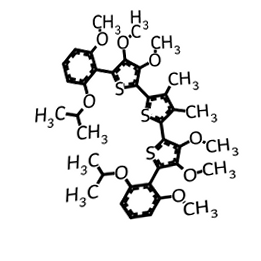 COc1cccc(OC(C)C)c1-c1sc(-c2sc(-c3sc(-c4c(OC)cccc4OC(C)C)c(OC)c3OC)c(C)c2C)c(OC)c1OC